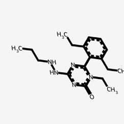 CCCNNc1nc(-c2c(CC)cccc2CC)n(CC)c(=O)n1